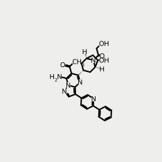 CC(=O)c1c([C@@H]2C[C@H]3CC(O)[C@@H](C2)N3C(=O)CO)nc2c(-c3ccc(-c4ccccc4)nc3)cnn2c1N